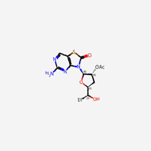 CC[C@H](O)[C@@H]1C[C@@H](OC(C)=O)[C@H](n2c(=O)sc3cnc(N)nc32)O1